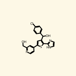 OCc1cc(-c2cc(C(O)c3ccc(Cl)cc3)c(-c3ncc[nH]3)s2)ccn1